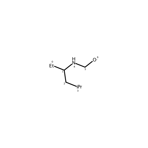 CCC(CC(C)C)NC[O]